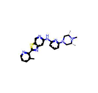 Cc1cccnc1-c1nc2cc(Nc3cccc(N4C[C@@H](C)N(C)[C@@H](C)C4)n3)ncc2s1